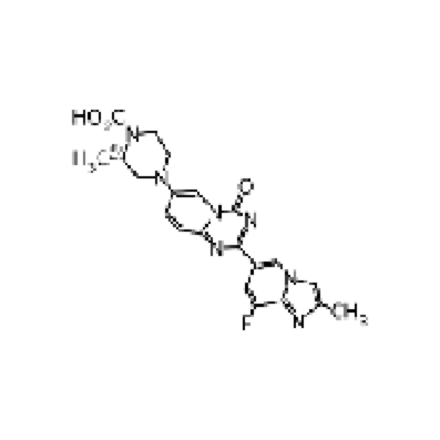 Cc1cn2cc(-c3nc(=O)n4cc(N5CCN(C(=O)O)[C@H](C)C5)ccc4n3)cc(F)c2n1